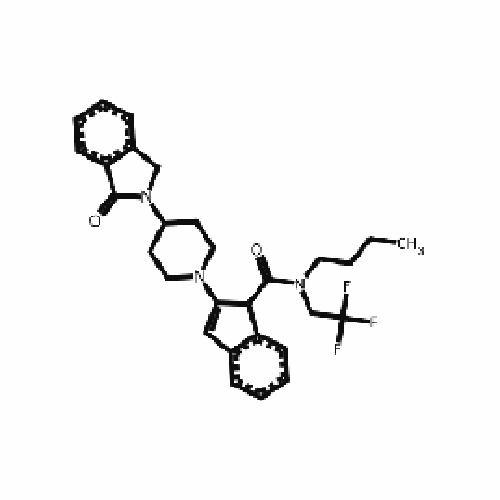 CCCCN(CC(F)(F)F)C(=O)C1C(N2CCC(N3Cc4ccccc4C3=O)CC2)=Cc2ccccc21